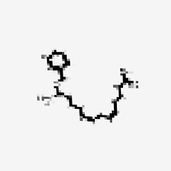 CC(CCC/C=C\C/C=C\CCCC(=O)O)OCc1ccccc1